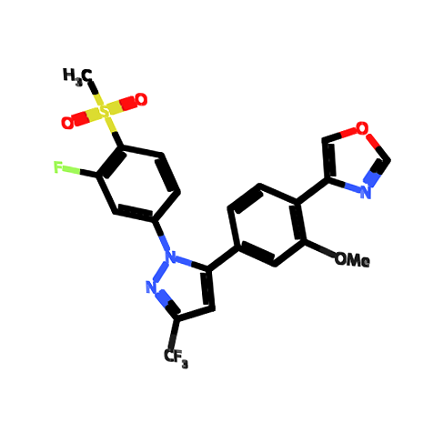 COc1cc(-c2cc(C(F)(F)F)nn2-c2ccc(S(C)(=O)=O)c(F)c2)ccc1-c1cocn1